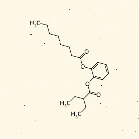 CCCCCCCC(=O)Oc1ccccc1OC(=O)C(CC)CC